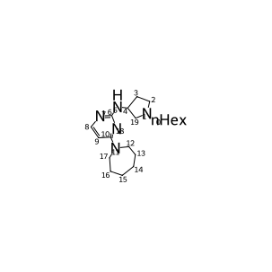 CCCCCCN1CCC(Nc2nccc(N3CCCCCC3)n2)C1